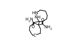 NC(=O)C1(C2(C(N)=O)CCCCCNN2)CCCCCCC1